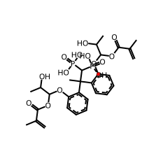 C=C(C)C(=O)OC(Oc1ccccc1C(C)(c1ccccc1OC(OC(=O)C(=C)C)C(C)O)C(P(=O)(O)O)P(=O)(O)O)C(C)O